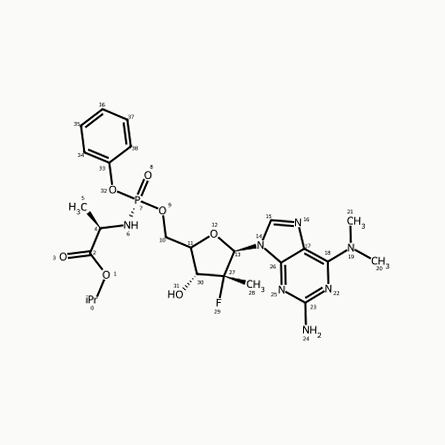 CC(C)OC(=O)[C@@H](C)N[P@](=O)(OCC1O[C@@H](n2cnc3c(N(C)C)nc(N)nc32)[C@](C)(F)[C@@H]1O)Oc1ccccc1